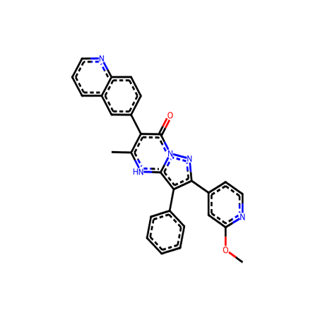 COc1cc(-c2nn3c(=O)c(-c4ccc5ncccc5c4)c(C)[nH]c3c2-c2ccccc2)ccn1